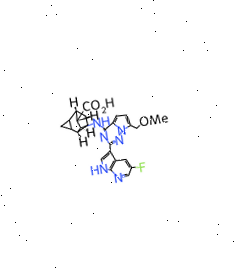 COCc1ccc2c(N[C@@H]3[C@@H](C(=O)O)[C@H]4CC[C@@H]3C3CC34)nc(-c3c[nH]c4ncc(F)cc34)nn12